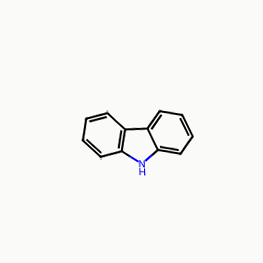 [c]1cc[c]c2c1[nH]c1ccccc12